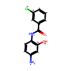 Nc1ccc(NC(=O)c2cccc(Cl)c2)c(O)c1